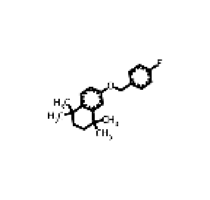 CC1(C)CCC(C)(C)c2cc(OCc3ccc(F)cc3)[c]cc21